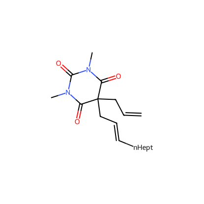 C=CCC1(CC=CCCCCCCC)C(=O)N(C)C(=O)N(C)C1=O